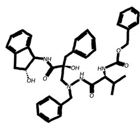 CC(C)[C@H](NC(=O)OCc1ccccc1)C(=O)NN(Cc1ccccc1)C[C@@](O)(Cc1ccccc1)C(=O)NC1c2ccccc2C[C@H]1O